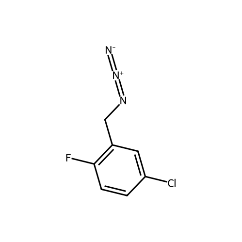 [N-]=[N+]=NCc1cc(Cl)ccc1F